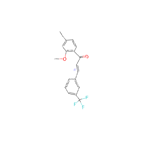 COc1cc(C)ccc1C(=O)/C=C/c1cccc(C(F)(F)F)c1